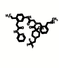 CCc1ccc(NC(=O)CN(Cc2ccccc2CNC)C(=O)C2(C)CCN(CC(F)(F)F)CC2)cc1CC(=O)Nc1ccccn1